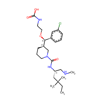 CCC(C)(C)C[C@@H](CNC)NC(=O)N1CCC[C@@H]([C@@H](OCCNC(=O)O)c2cccc(Cl)c2)C1